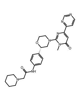 Cn1c(N2CCO[C@@H](c3ccc(NC(=O)CN4CCCCC4)cc3)C2)nc(-c2ccncn2)cc1=O